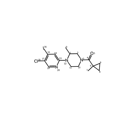 CC1CN(C(=O)C2(C)CC2)CCN1c1cc(I)c(Cl)cn1